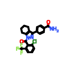 NC(=O)c1ccc(-c2nn(C(=O)c3c(Cl)cccc3C(F)(F)F)c3c2CCCC3)cc1